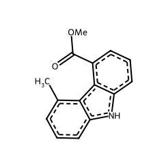 COC(=O)c1cccc2[nH]c3cccc(C)c3c12